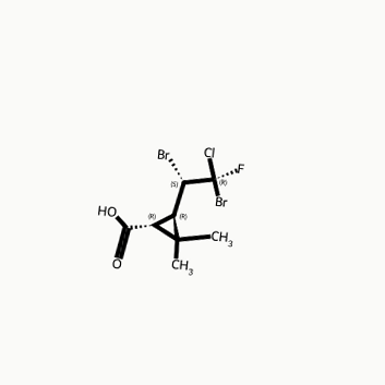 CC1(C)[C@H]([C@H](Br)[C@@](F)(Cl)Br)[C@H]1C(=O)O